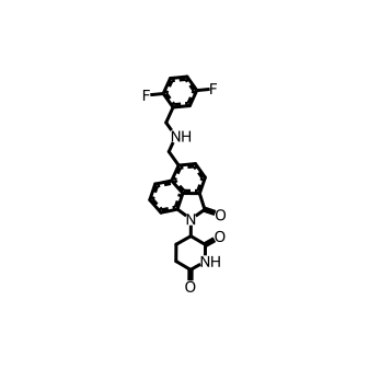 O=C1CCC(N2C(=O)c3ccc(CNCc4cc(F)ccc4F)c4cccc2c34)C(=O)N1